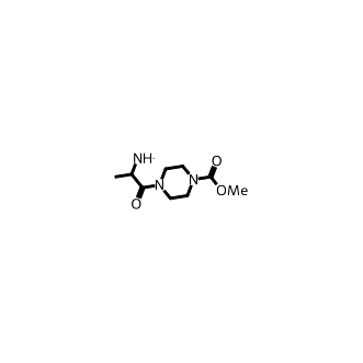 COC(=O)N1CCN(C(=O)C(C)[NH])CC1